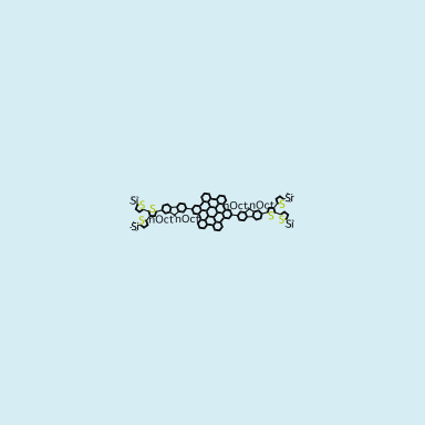 CCCCCCCCC1(CCCCCCCC)c2cc(-c3cc4c5cccc6c7cccc8c9cc(-c%10ccc%11c(c%10)C(CCCCCCCC)(CCCCCCCC)c%10cc(-c%12cc(-c%13ccc([Si](C)(C)C)s%13)c(-c%13ccc([Si](C)(C)C)s%13)s%12)ccc%10-%11)cc%10c%11cccc%12c%13cccc%14c(c3)c4c3c(c65)c(c78)c(c9%10)c(c%12%11)c3c%13%14)ccc2-c2ccc(-c3cc(-c4ccc([Si](C)(C)C)s4)c(-c4ccc([Si](C)(C)C)s4)s3)cc21